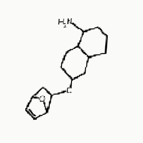 NC1CCCC2CC(OC3CC4C=CC3O4)CCC12